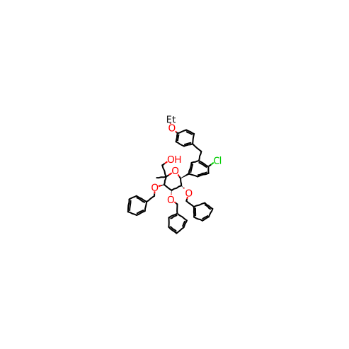 CCOc1ccc(Cc2cc([C@@H]3OC(C)(CO)[C@H](OCc4ccccc4)[C@@H](OCc4ccccc4)[C@H]3OCc3ccccc3)ccc2Cl)cc1